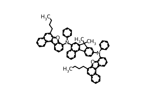 CCCCc1cc2ccccc2c2c1oc1c(N(c3ccccc3)c3ccc4c(c3)C(C)(C)c3cc(N(c5ccccc5)c5cccc6c5oc5c(CCCC)cc7ccccc7c56)c5ccccc5c3-4)cccc12